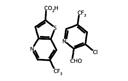 O=C(O)c1cc2ncc(C(F)(F)F)cc2s1.O=Cc1ncc(C(F)(F)F)cc1Cl